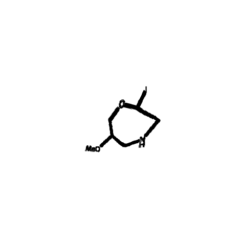 COC1CNCC(I)OC1